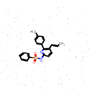 C/C=C/c1ccc(NS(=O)(=O)c2ccccc2)nc1-c1ccc(C)cc1